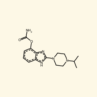 CC(C)N1CCN(c2nc3c(OC(N)=O)cccc3[nH]2)CC1